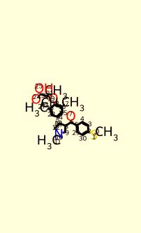 CSc1ccc(C(=O)C2CN(C)C[C@@H]2c2cc(C)c(OC(C)(C)C(=O)O)c(C)c2)cc1